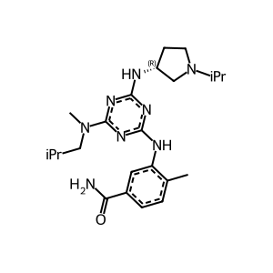 Cc1ccc(C(N)=O)cc1Nc1nc(N[C@@H]2CCN(C(C)C)C2)nc(N(C)CC(C)C)n1